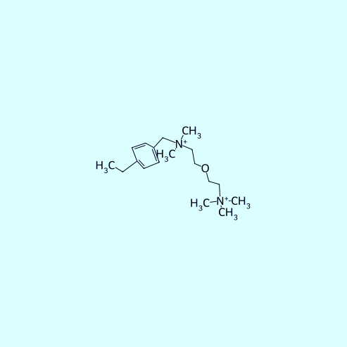 CCc1ccc(C[N+](C)(C)CCOCC[N+](C)(C)C)cc1